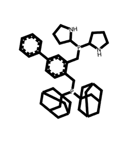 c1ccc(-c2ccc(CP(C34CC5CC(CC(C5)C3)C4)C34CC5CC(CC(C5)C3)C4)c(CP(C3CCCN3)C3CCCN3)c2)cc1